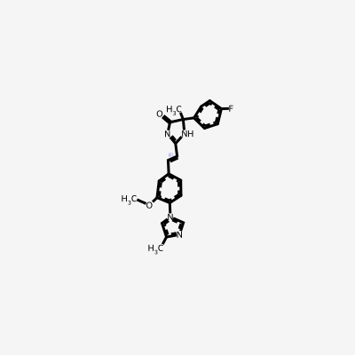 COc1cc(/C=C/C2=NC(=O)C(C)(c3ccc(F)cc3)N2)ccc1-n1cnc(C)c1